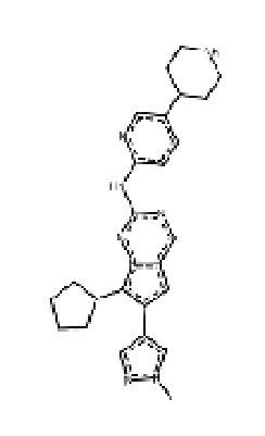 Cn1cc(-c2cc3cnc(Nc4ccc(C5CCNCC5)cn4)nn3c2C2CCCC2)cn1